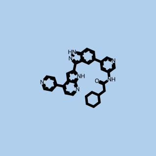 O=C(CC1CCCCC1)Nc1cncc(-c2ccc3[nH]nc(-c4cc5c(-c6ccncc6)ccnc5[nH]4)c3c2)c1